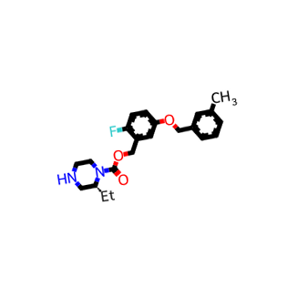 CC[C@@H]1CNCCN1C(=O)OCc1cc(OCc2cccc(C)c2)ccc1F